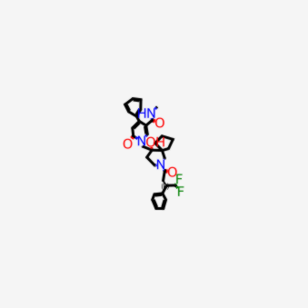 CNC(=O)c1cn(CC2(O)CCN(C(=O)C[C@H](c3ccccc3)C(F)F)CC23CCCC3)c(=O)cc1-c1ccccc1